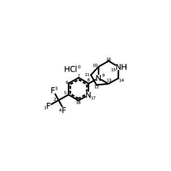 Cl.FC(F)(F)c1ccc(N2C3CCC2CNC3)nc1